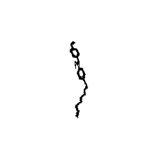 C=Cc1ccc(C=Nc2ccc(CCCCCCCC)cc2)cc1